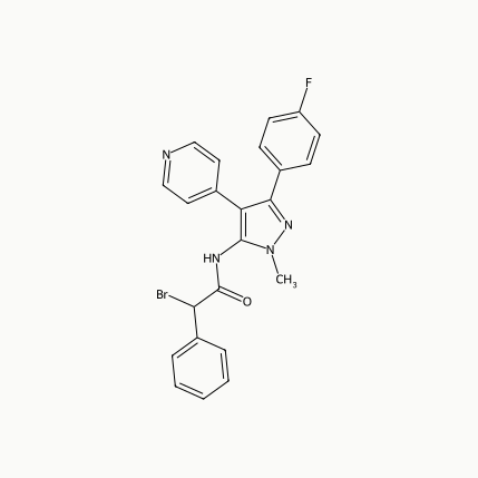 Cn1nc(-c2ccc(F)cc2)c(-c2ccncc2)c1NC(=O)C(Br)c1ccccc1